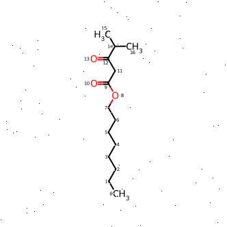 CCCCCCCCOC(=O)CC(=O)C(C)C